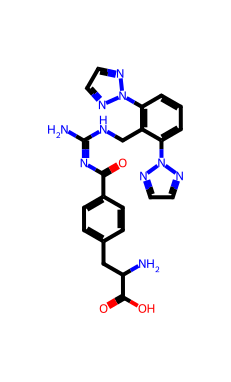 NC(=NC(=O)c1ccc(CC(N)C(=O)O)cc1)NCc1c(-n2nccn2)cccc1-n1nccn1